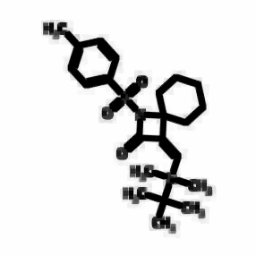 Cc1ccc(S(=O)(=O)N2C(=O)C(=C[Si](C)(C)C(C)(C)C)C23CCCCC3)cc1